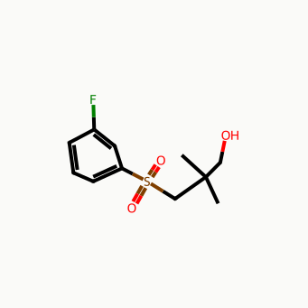 CC(C)(CO)CS(=O)(=O)c1cccc(F)c1